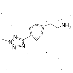 Cn1nnc(-c2ccc(CCN)cc2)n1